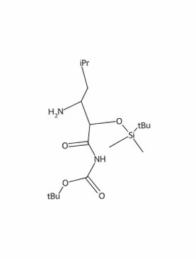 CC(C)CC(N)C(O[Si](C)(C)C(C)(C)C)C(=O)NC(=O)OC(C)(C)C